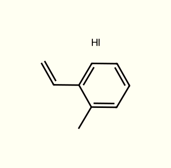 C=Cc1ccccc1C.I